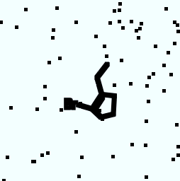 CCC1=C(Br)CCC1